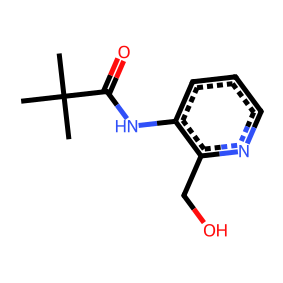 CC(C)(C)C(=O)Nc1cccnc1CO